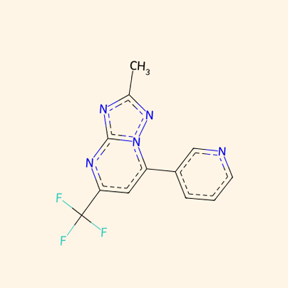 Cc1nc2nc(C(F)(F)F)cc(-c3cccnc3)n2n1